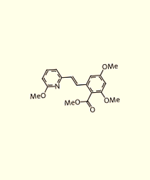 COC(=O)c1c(/C=C/c2cccc(OC)n2)cc(OC)cc1OC